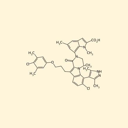 Cc1cc(N2CC(C)n3c(c(CCCOc4cc(C)c(Cl)c(C)c4)c4ccc(Cl)c(-c5c(C)n[nH]c5C)c43)C2=O)c2c(c1)cc(C(=O)O)n2C